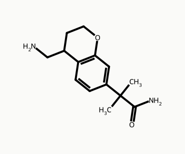 CC(C)(C(N)=O)c1ccc2c(c1)OCCC2CN